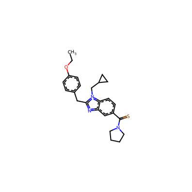 CCOc1ccc(Cc2nc3cc(C(=S)N4CCCC4)ccc3n2CC2CC2)cc1